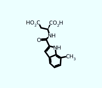 Cc1cccc2cc(C(=O)N[C@@H](CC(=O)O)C(=O)O)[nH]c12